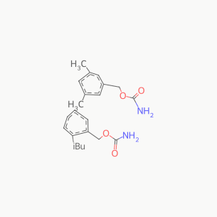 CCC(C)c1ccccc1COC(N)=O.Cc1cc(C)cc(COC(N)=O)c1